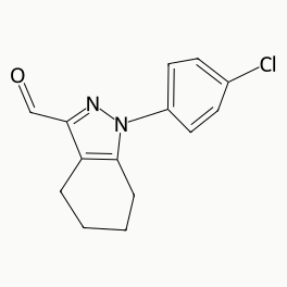 O=Cc1nn(-c2ccc(Cl)cc2)c2c1CCCC2